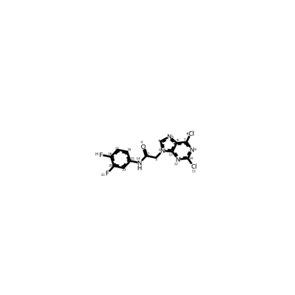 O=C(Cn1cnc2c(Cl)nc(Cl)nc21)Nc1ccc(F)c(F)c1